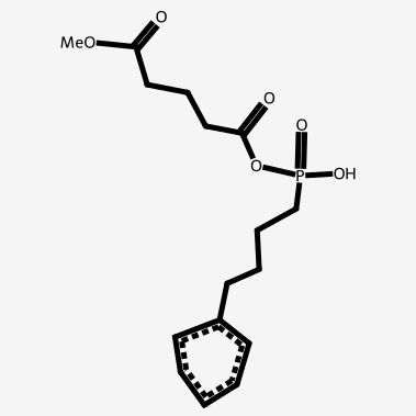 COC(=O)CCCC(=O)OP(=O)(O)CCCCc1ccccc1